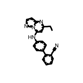 CCc1cc(Nc2ccc(-c3ccccc3C#N)cc2)n2nccc2n1